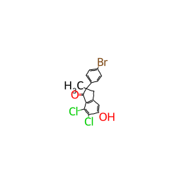 CC1(c2ccc(Br)cc2)Cc2cc(O)c(Cl)c(Cl)c2C1=O